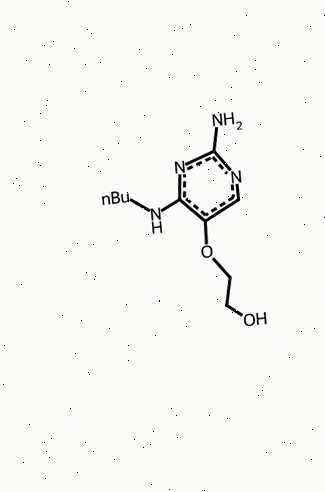 CCCCNc1nc(N)ncc1OCCO